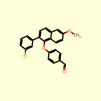 COc1ccc2c(Oc3ccc(C=O)cc3)c(-c3cccc(Cl)c3)ccc2c1